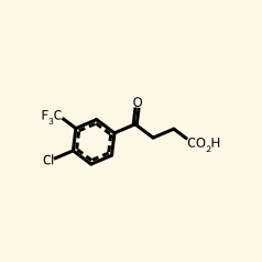 O=C(O)CCC(=O)c1ccc(Cl)c(C(F)(F)F)c1